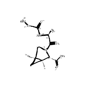 COC(=O)[C@@H]1[C@H]2C[C@H]2CN1C(=O)[C@@H](NC(=O)OC(C)(C)C)C(C)(C)C